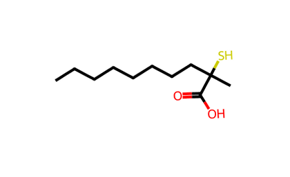 CCCCCCCCC(C)(S)C(=O)O